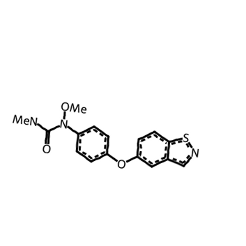 CNC(=O)N(OC)c1ccc(Oc2ccc3sncc3c2)cc1